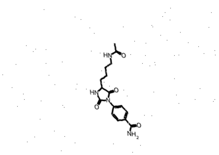 CC(=O)NCCCCC1NC(=O)N(c2ccc(C(N)=O)cc2)C1=O